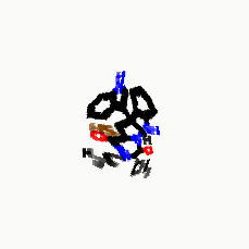 C[C@H]1C(=O)N2[C@H]3Nc4ccccc4[C@@]3(c3c[nH]c4ccccc34)C[C@]2(S)C(=O)N1C